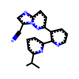 CC(C)c1cccc(-c2ncccc2-c2ccc3ncc(C#N)n3n2)n1